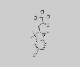 CN1C(=CC(=O)C(Cl)(Cl)Cl)C(C)(C)c2cc(Cl)ccc21